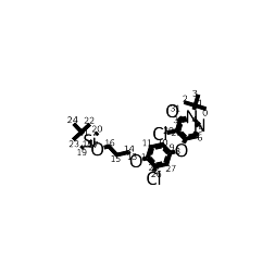 CC(C)(C)n1ncc(Oc2ccc(OCCCO[Si](C)(C)C(C)(C)C)c(Cl)c2)c(Cl)c1=O